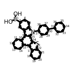 OB(O)c1ccc2c(c1)c1c3ccccc3c3c4ccccc4sc3c1n2-c1ccc(-c2ccccc2)cc1